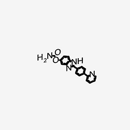 NC(=O)Oc1ccc2[nH]c(-c3ccc(-c4ccccn4)cc3)nc2c1